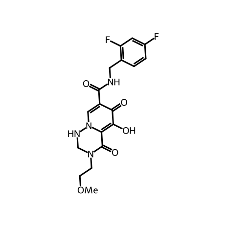 COCCN1CNn2cc(C(=O)NCc3ccc(F)cc3F)c(=O)c(O)c2C1=O